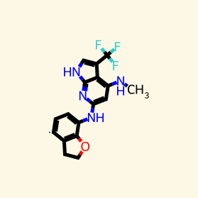 CNc1cc(Nc2cc[c]c3c2OCC3)nc2[nH]cc(C(F)(F)F)c12